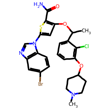 CC(Oc1cc(-n2cnc3cc(Br)ccc32)sc1C(N)=O)c1cccc(OC2CCN(C)CC2)c1Cl